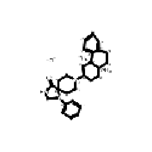 Cl.O=C1NCN(c2ccccc2)C12CCN(C1CC[C@@H]3CCc4ccccc4[C@@H]3C1)CC2